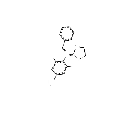 Cc1cc(C)[c](/[Ru](=[CH]/c2ccccc2)=[C]2NCCN2)c(C)c1